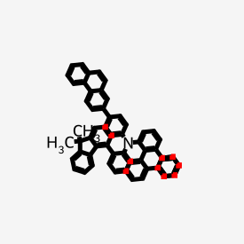 CC1(C)c2ccccc2-c2c(-c3ccccc3N(c3ccc(-c4ccc5c(ccc6ccccc65)c4)cc3)c3cccc(-c4ccccc4)c3-c3ccccc3-c3ccccc3)cccc21